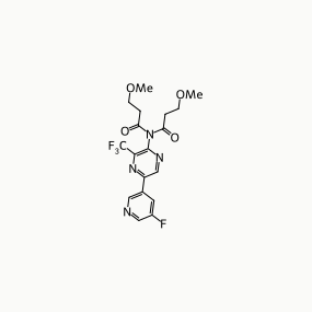 COCCC(=O)N(C(=O)CCOC)c1ncc(-c2cncc(F)c2)nc1C(F)(F)F